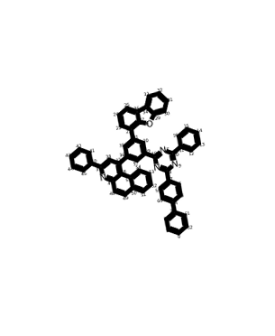 c1ccc(-c2ccc(-c3nc(-c4ccccc4)nc(-c4cc(-c5cccc6c5oc5ccccc56)cc(-c5cc(-c6ccccc6)nc6ccc7ccccc7c56)c4)n3)cc2)cc1